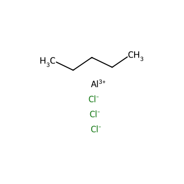 CCCCC.[Al+3].[Cl-].[Cl-].[Cl-]